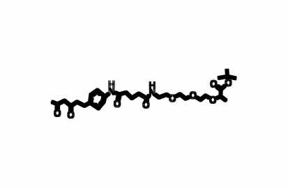 CC(=O)CC(=O)CCc1ccc(NC(=O)CCCC(=O)NCCOCCOCCOC(C)C(=O)OC(C)(C)C)cc1